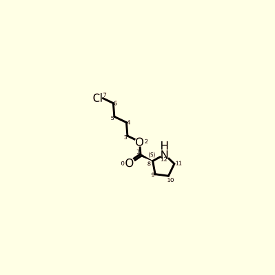 O=C(OCCCCCl)[C@@H]1CCCN1